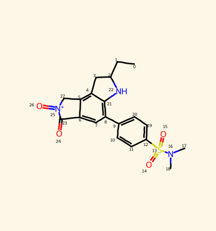 CCC1Cc2c3c(cc(-c4ccc(S(=O)(=O)N(C)C)cc4)c2N1)C(=O)[N+](=O)C3